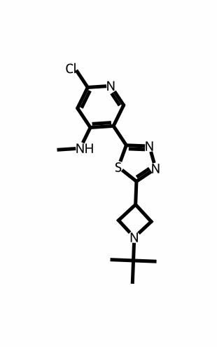 CNc1cc(Cl)ncc1-c1nnc(C2CN(C(C)(C)C)C2)s1